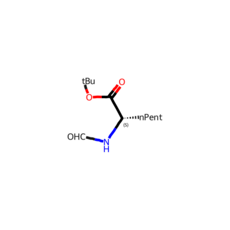 CCCCC[C@H](NC=O)C(=O)OC(C)(C)C